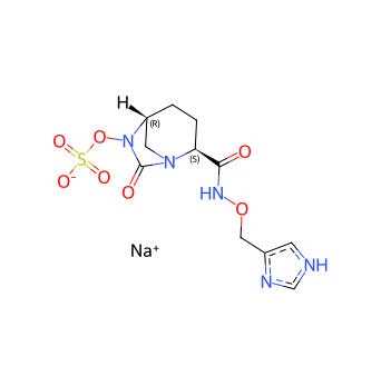 O=C(NOCc1c[nH]cn1)[C@@H]1CC[C@@H]2CN1C(=O)N2OS(=O)(=O)[O-].[Na+]